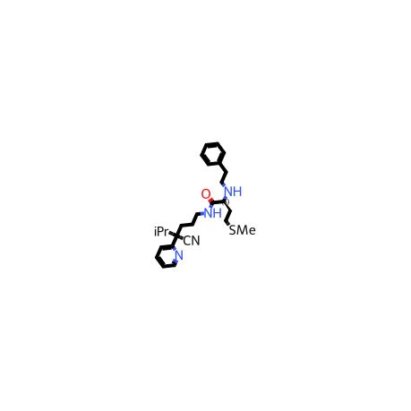 CSCC[C@H](NCCc1ccccc1)C(=O)NCCCC(C#N)(c1ccccn1)C(C)C